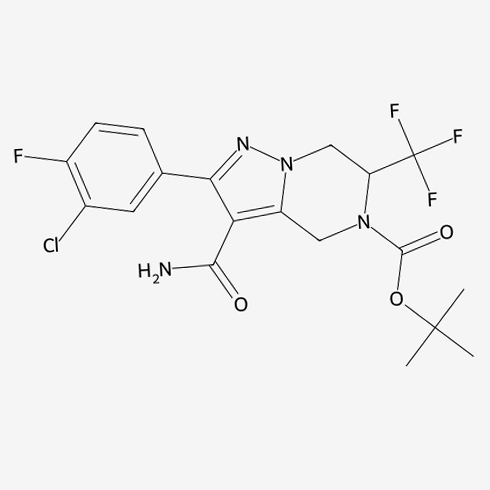 CC(C)(C)OC(=O)N1Cc2c(C(N)=O)c(-c3ccc(F)c(Cl)c3)nn2CC1C(F)(F)F